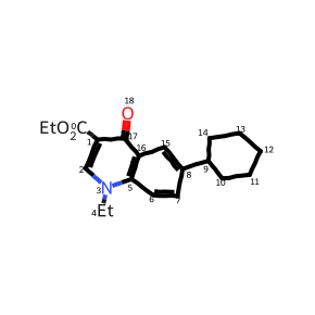 CCOC(=O)c1cn(CC)c2ccc(C3CCCCC3)cc2c1=O